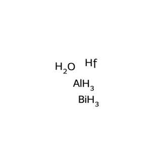 O.[AlH3].[BiH3].[Hf]